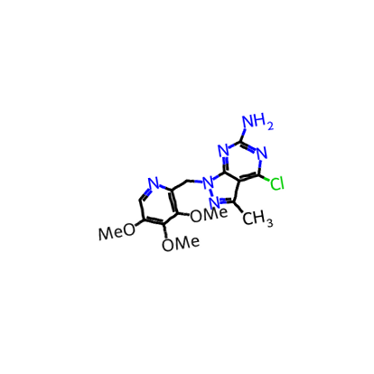 COc1cnc(Cn2nc(C)c3c(Cl)nc(N)nc32)c(OC)c1OC